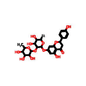 CCC1OC(Oc2cc(O)c3c(c2)OC(c2ccc(O)cc2)CC3=O)C(OC2OC(C)C(O)C(O)C2O)C(O)C1O